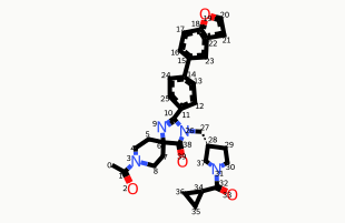 CC(=O)N1CCC2(CC1)N=C(c1ccc(-c3ccc4occc4c3)cc1)N(C[C@@H]1CCN(C(=O)C3CC3)C1)C2=O